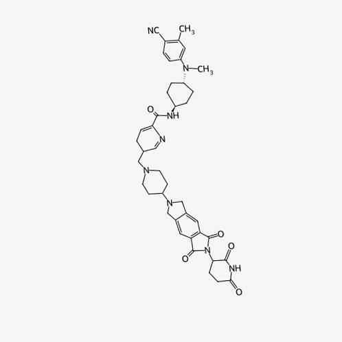 Cc1cc(N(C)[C@H]2CC[C@H](NC(=O)C3=CCC(CN4CCC(N5Cc6cc7c(cc6C5)C(=O)N(C5CCC(=O)NC5=O)C7=O)CC4)C=N3)CC2)ccc1C#N